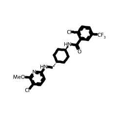 COc1nc(NC[C@H]2CC[C@H](NC(=O)c3cc(C(F)(F)F)ccc3Cl)CC2)ccc1Cl